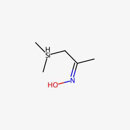 CC(C[SiH](C)C)=NO